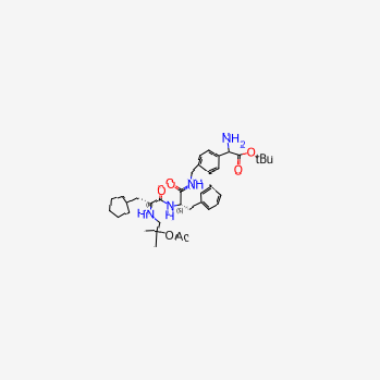 CC(=O)OC(C)(C)CN[C@H](CC1CCCCC1)C(=O)N[C@@H](Cc1ccccc1)C(=O)NCc1ccc(C(N)C(=O)OC(C)(C)C)cc1